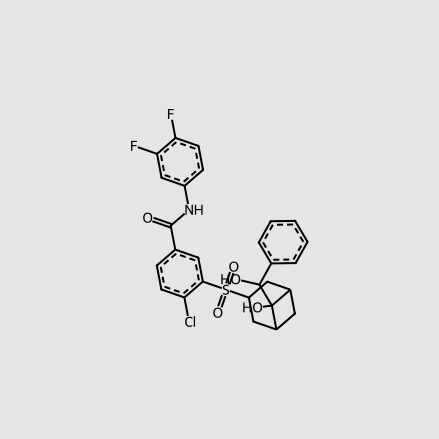 O=C(Nc1ccc(F)c(F)c1)c1ccc(Cl)c(S(=O)(=O)C2CC3CC(C2)C3(O)C(O)c2ccccc2)c1